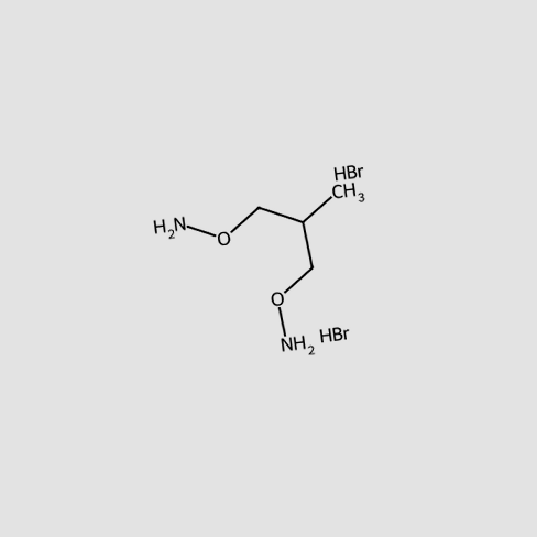 Br.Br.CC(CON)CON